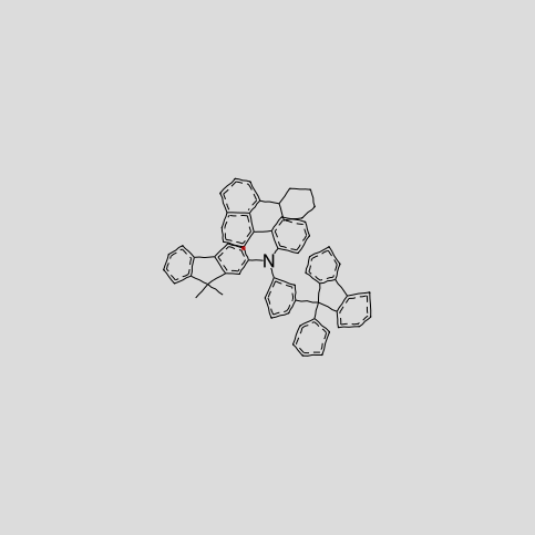 CC1(C)c2ccccc2-c2ccc(N(c3cccc(C4(c5ccccc5)c5ccccc5-c5ccccc54)c3)c3ccccc3-c3cccc4cccc(C5CCCCC5)c34)cc21